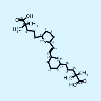 CC(C)(CCCC1CCCC(C=CC2CCCC(CCCC(C)(C)C(=O)O)S2)S1)C(=O)O